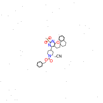 CS(=O)(=O)c1nc2c(c(C3CCN(C(=O)OCc4ccccc4)[C@@H](CC#N)C3)n1)CCC1(CCCc3ccccc31)O2